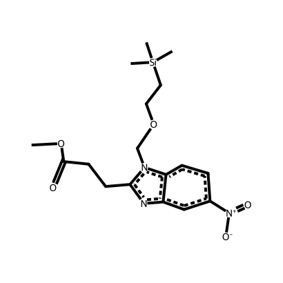 COC(=O)CCc1nc2cc([N+](=O)[O-])ccc2n1COCC[Si](C)(C)C